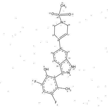 Cc1c(F)cc(F)c(O)c1-c1n[nH]c2cc(C3=CCN(S(C)(=O)=O)CC3)ccc12